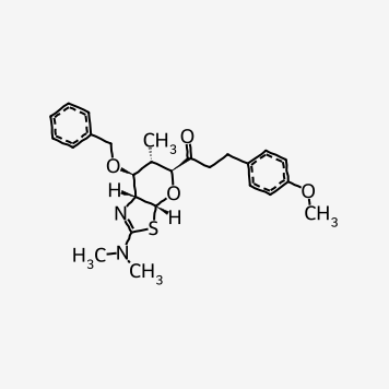 COc1ccc(CCC(=O)[C@H]2O[C@@H]3SC(N(C)C)=N[C@@H]3[C@@H](OCc3ccccc3)[C@@H]2C)cc1